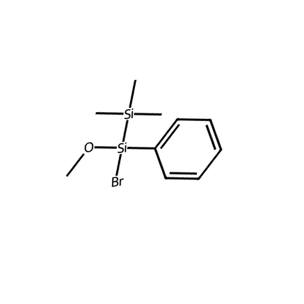 CO[Si](Br)(c1ccccc1)[Si](C)(C)C